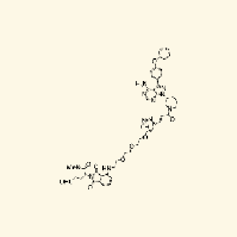 C/N=N\N(/C=C/C(=O)N1CCCC(n2nc(-c3ccc(Oc4ccccc4)cc3)c3c(N)ncnc32)C1)CCOCCOCCOCCNc1cccc2c1C(=O)N(C(CCC=O)C(=O)NC)C2=O